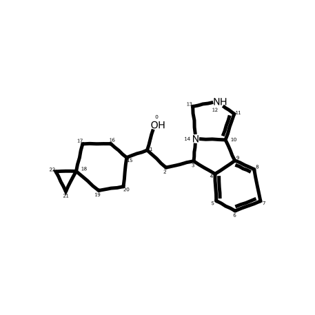 OC(CC1c2ccccc2C2=CNCN21)C1CCC2(CC1)CC2